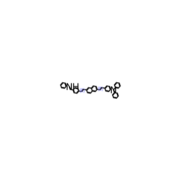 C(=C\c1ccc2cc(/C=C/c3ccc(N(c4ccccc4)c4ccccc4)cc3)ccc2c1)/c1ccc(CNc2ccccc2)cc1